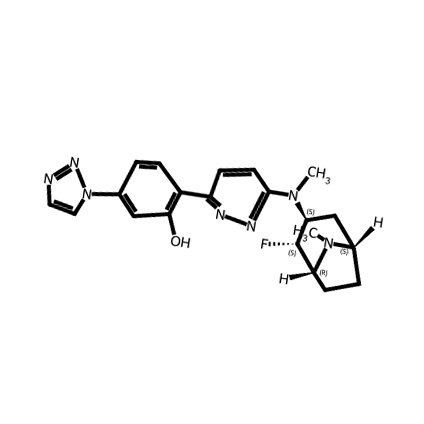 CN(c1ccc(-c2ccc(-n3ccnn3)cc2O)nn1)[C@H]1C[C@@H]2CC[C@H]([C@@H]1F)N2C